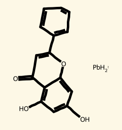 O=c1cc(-c2ccccc2)oc2cc(O)cc(O)c12.[PbH2]